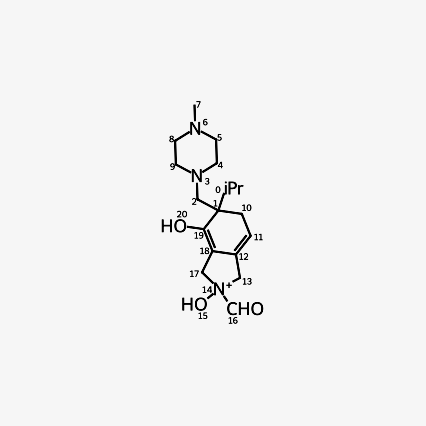 CC(C)C1(CN2CCN(C)CC2)CC=C2C[N+](O)(C=O)CC2=C1O